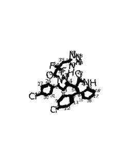 O=C(N1N=C(c2c(-c3ccc(Cl)cc3)c3ccccc3[nH]c2=O)C[C@H]1c1ccc(Cl)cc1)C(F)(F)Cc1nnn[nH]1